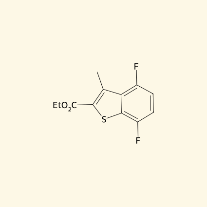 CCOC(=O)c1sc2c(F)ccc(F)c2c1C